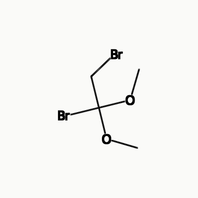 COC(Br)(CBr)OC